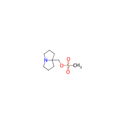 CS(=O)(=O)OCC12CCCN1CCC2